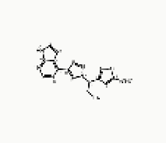 N#CCC(c1csc(C=O)c1)n1cc(-c2ncnc3[nH]ccc23)cn1